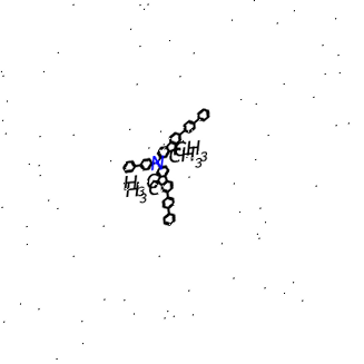 CC1(C)c2cc(-c3ccc(-c4ccccc4)cc3)ccc2-c2ccc(N(c3ccc(-c4ccccc4)cc3)c3ccc4c(c3)C(C)(C)c3cc(-c5ccc(-c6ccccc6)cc5)ccc3-4)cc21